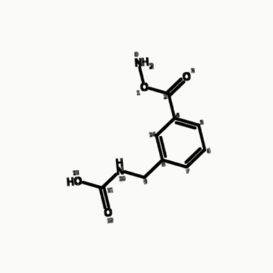 NOC(=O)c1cccc(CNC(=O)O)c1